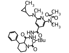 CC1CC1CN(C)c1cc(C(=O)NNC(=O)C2C(c3ccccc3)CCCN2C(=O)OC(C)(C)C)cc(N(C)S(C)(=O)=O)n1